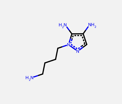 NCCCCn1ncc(N)c1N